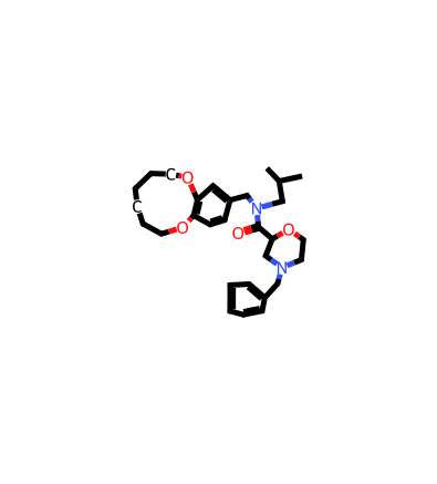 CC(C)CN(Cc1ccc2c(c1)OCCCCCCO2)C(=O)C1CN(Cc2ccccc2)CCO1